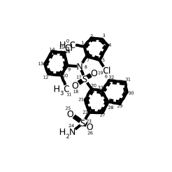 Cc1cccc(Cl)c1N(c1c(C)cccc1Cl)S(=O)(=O)c1cc(S(N)(=O)=O)cc2ccccc12